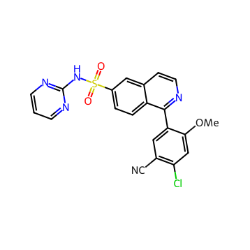 COc1cc(Cl)c(C#N)cc1-c1nccc2cc(S(=O)(=O)Nc3ncccn3)ccc12